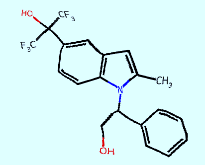 Cc1cc2cc(C(O)(C(F)(F)F)C(F)(F)F)ccc2n1C(CO)c1ccccc1